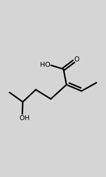 CC=C(CCC(C)O)C(=O)O